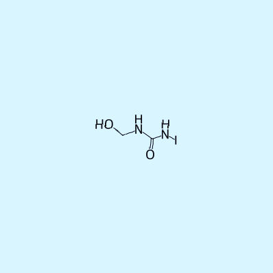 O=C(NI)NCO